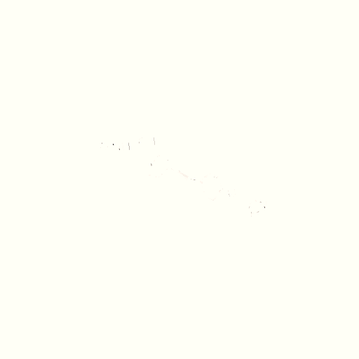 CC(=O)NC(C)Cc1ccc(C#Cc2ccc(OCc3cnco3)cc2)cc1